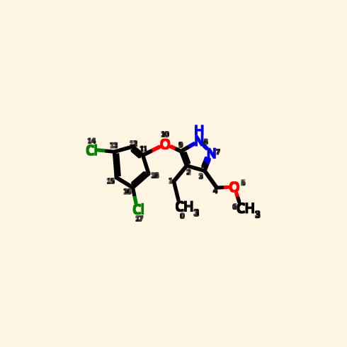 CCc1c(COC)n[nH]c1Oc1cc(Cl)cc(Cl)c1